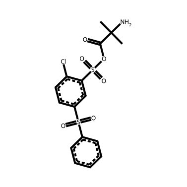 CC(C)(N)C(=O)OS(=O)(=O)c1cc(S(=O)(=O)c2ccccc2)ccc1Cl